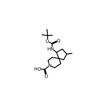 CC1CC(NC(=O)OC(C)(C)C)C2(CCN(C(=O)O)CC2)C1